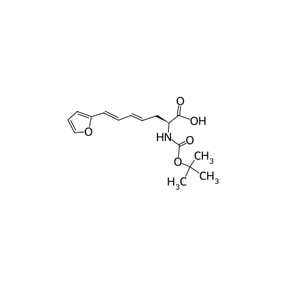 CC(C)(C)OC(=O)N[C@@H](C/C=C/C=C/c1ccco1)C(=O)O